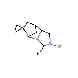 CC(C)C1C2C(CN1C(C)C)C1CC2C2(CC2)C1